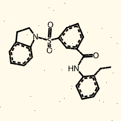 CCc1ccccc1NC(=O)c1cccc(S(=O)(=O)N2CCc3ccccc32)c1